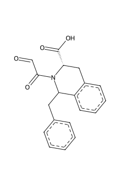 O=CC(=O)N1C(Cc2ccccc2)c2ccccc2C[C@H]1C(=O)O